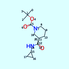 CC(C)(C)OC(=O)N1CCC[C@@H](C(=O)NC2CC2)C1